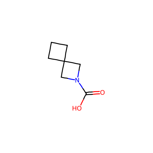 O=C(O)N1CC2(CCC2)C1